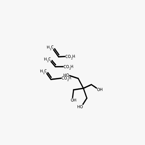 C=CC(=O)O.C=CC(=O)O.C=CC(=O)O.OCC(CO)(CO)CO